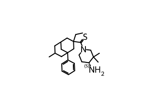 CCC1(C(=S)N2CC[C@H](N)C(C)(C)C2)CC2CC(C)CC(c3ccccc3)(C2)C1